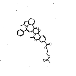 CC(=O)OCCOC(=O)c1ccc2c(=O)n(N3C=C(c4ccccc4)n4c(C)cc5c4C(=CCC5)C3=O)c(C)nc2c1